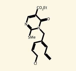 C=C/C=C(\C=C/CCl)Cn1c(SC)ncc(C(=O)OCC)c1=O